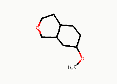 COC1CCC2CCOCC2C1